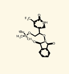 CC(C)(C)[Si](C)(C)OCC(ON1C(=O)c2ccccc2C1=O)c1c[nH]c(=O)c(C(F)(F)F)c1